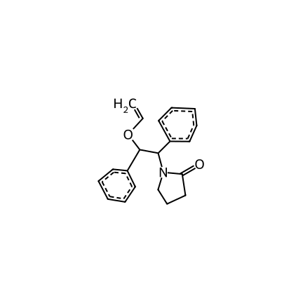 C=COC(c1ccccc1)C(c1ccccc1)N1CCCC1=O